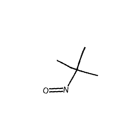 CC(C)(C)N=O